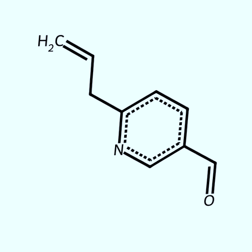 C=CCc1ccc(C=O)cn1